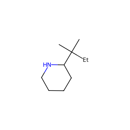 CCC(C)(C)C1CCCCN1